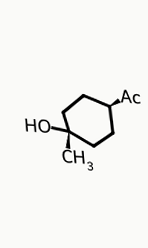 CC(=O)[C@H]1CC[C@](C)(O)CC1